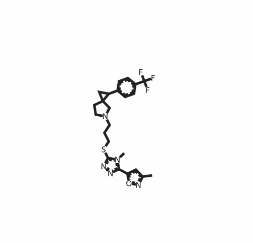 Cc1cc(-c2nnc(SCCCN3CCC4(CC4c4ccc(C(F)(F)F)cc4)C3)n2C)on1